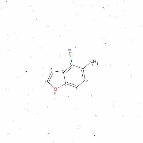 Cc1ccc2occc2c1Cl